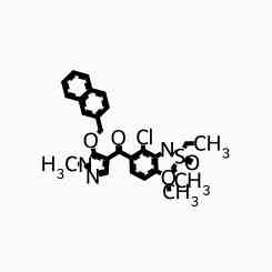 CCS(=O)(CC)=Nc1c(OC)ccc(C(=O)c2cnn(C)c2OCc2ccc3ccccc3c2)c1Cl